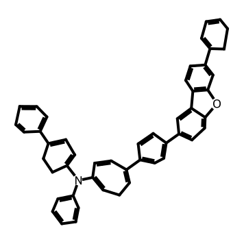 C1=CCCC(c2ccc3c(c2)oc2ccc(-c4ccc(C5=CCC=C(N(C6=CC=C(c7ccccc7)CC6)c6ccccc6)C=C5)cc4)cc23)=C1